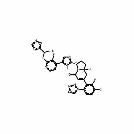 CC(Oc1nccc(-c2cnc([C@@H]3CC[C@@H]4CC(c5c(-n6cnnn6)ccc(Cl)c5F)=CC(=O)N43)[nH]2)c1F)c1nnco1